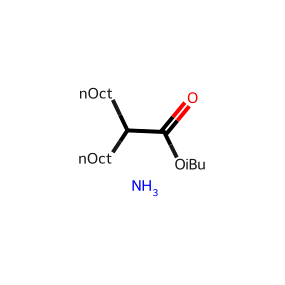 CCCCCCCCC(CCCCCCCC)C(=O)OCC(C)C.N